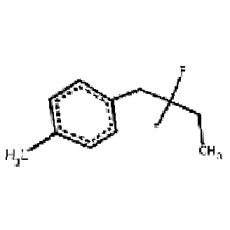 CCC(F)(F)Cc1ccc(C)cc1